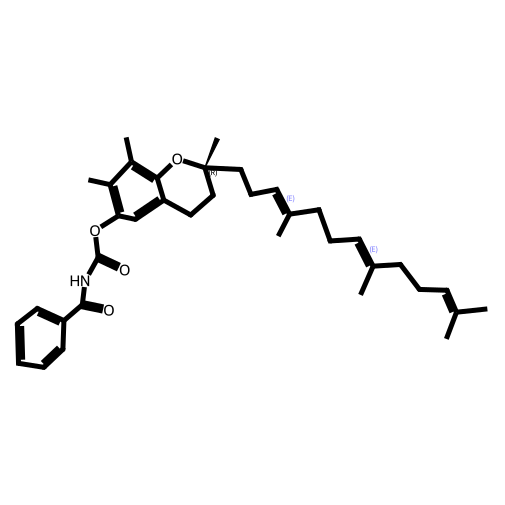 CC(C)=CCC/C(C)=C/CC/C(C)=C/CC[C@]1(C)CCc2cc(OC(=O)NC(=O)c3ccccc3)c(C)c(C)c2O1